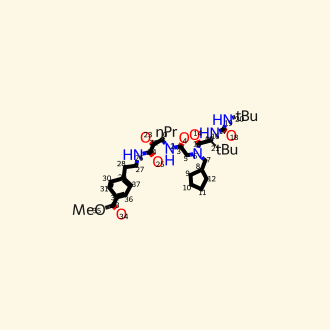 CCCC(NC(=O)CN(CC1CCCC1)C(=O)[C@@H](NC(=O)NC(C)(C)C)C(C)(C)C)C(=O)C(=O)NCCc1ccc(C(=O)OC)cc1